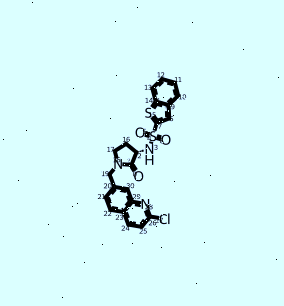 O=C1[C@@H](NS(=O)(=O)c2cc3ccccc3s2)CCN1Cc1ccc2ccc(Cl)nc2c1